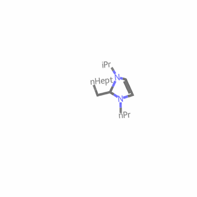 CCCCCCCCC1N(CCC)C=CN1C(C)C